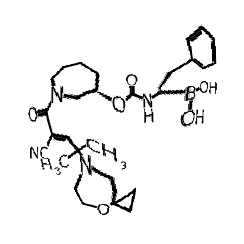 CC(C)(/C=C(\C#N)C(=O)N1CCCC[C@@H](OC(=O)N[C@@H](Cc2ccccc2)B(O)O)C1)N1CCOC2(CC2)C1